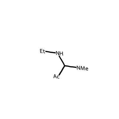 CCNC(NC)C(C)=O